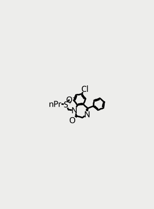 CCC[S+]([O-])CN1C(=O)CN=C(c2ccccc2)c2cc(Cl)ccc21